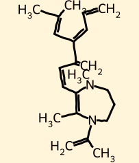 C=C/C=C(\C=C(C)C)C(=C)/C=C\C1=C(C)N(C(=C)C)CCCN1C